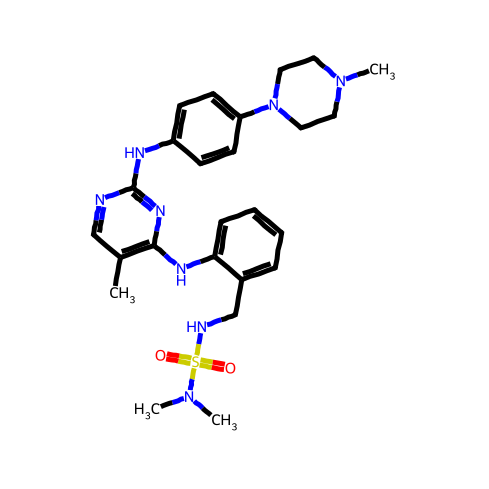 Cc1cnc(Nc2ccc(N3CCN(C)CC3)cc2)nc1Nc1ccccc1CNS(=O)(=O)N(C)C